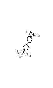 CN(C)N1CCC(N2CCN(C(C)(C)C)CC2)CC1